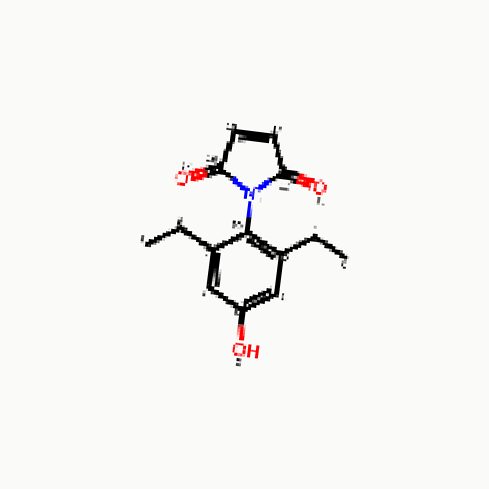 CCc1cc(O)cc(CC)c1N1C(=O)C=CC1=O